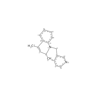 CC1=CC(C)N(Cc2cccnc2)c2ccccc21